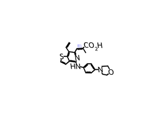 C=Cc1c(/C=C(\C)C(=O)O)nc(Nc2ccc(N3CCOCC3)cc2)c2ccsc12